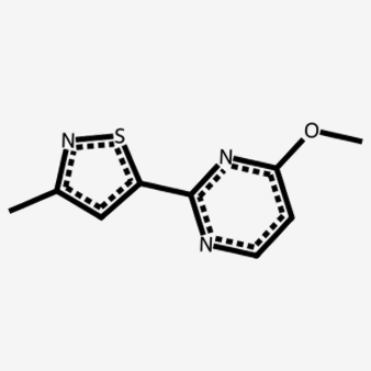 COc1ccnc(-c2cc(C)ns2)n1